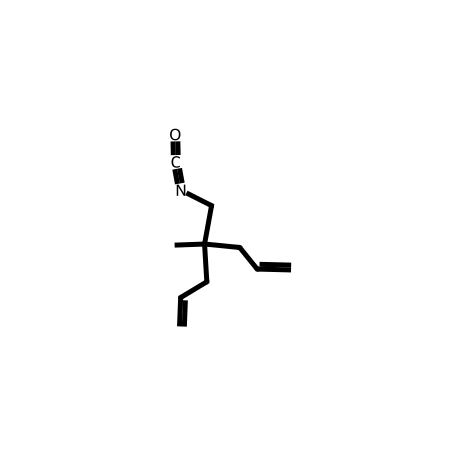 C=CCC(C)(CC=C)CN=C=O